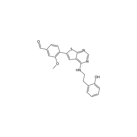 COc1cc(C=O)ccc1-c1cc2c(NCCc3ccccc3O)ncnc2s1